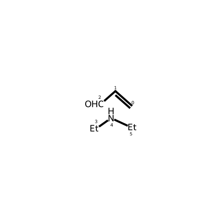 C=CC=O.CCNCC